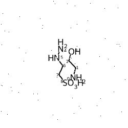 NCCO.NNCCS(=O)(=O)O